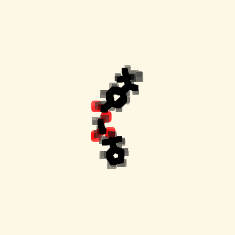 CCC(C)(C)C(C)c1ccc(C(=O)OCC(=O)OC(C)(C)C2CCCC2)cc1